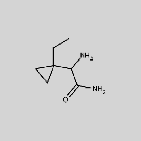 CCC1(C(N)C(N)=O)CC1